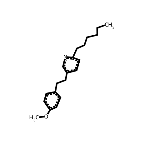 CCCCCCc1ccc(CCc2ccc(OC)cc2)cn1